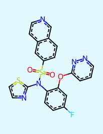 O=S(=O)(c1ccc2cnccc2c1)N(c1nccs1)c1ccc(F)cc1Oc1cccnn1